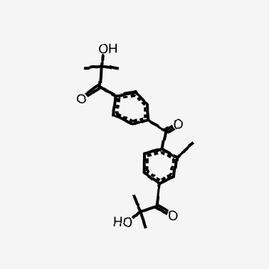 Cc1cc(C(=O)C(C)(C)O)ccc1C(=O)c1ccc(C(=O)C(C)(C)O)cc1